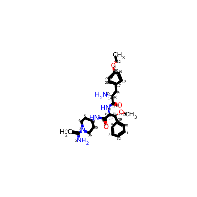 C=C(N)N1CCC(NC(=O)[C@@H](NC(=O)[C@H](N)Cc2ccc(OCC)cc2)[C@H](OC)c2ccccc2)CC1